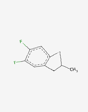 CC1Cc2cc(F)c(F)cc2C1